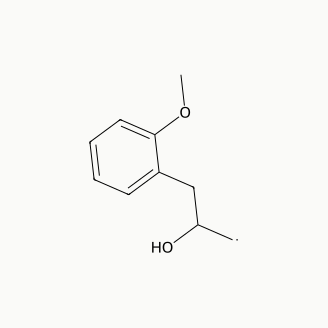 [CH2]C(O)Cc1ccccc1OC